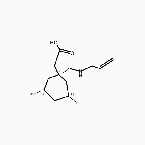 C=CCNC[C@]1(CC(=O)O)C[C@H](C)C[C@H](C)C1